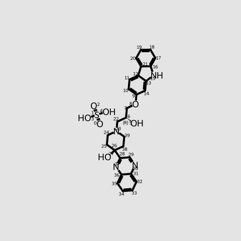 O=S(=O)(O)O.O[C@@H](COc1ccc2c(c1)[nH]c1ccccc12)CN1CCC(O)(c2cnc3ccccc3n2)CC1